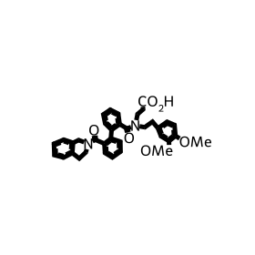 COc1ccc(CCN(CCC(=O)O)C(=O)c2ccccc2-c2ccccc2C(=O)N2CCc3ccccc3C2)cc1OC